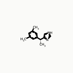 Cc1cc(C)cc([C@@H](C)c2c[nH]cn2)c1